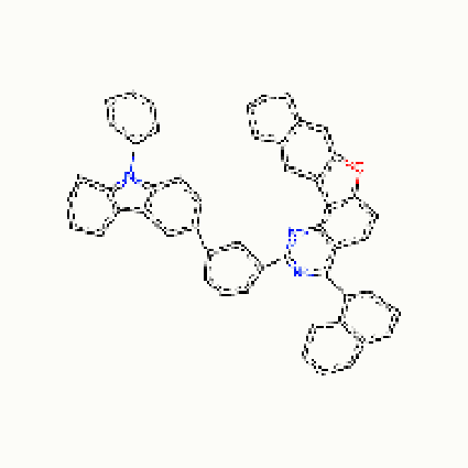 c1ccc(-n2c3ccccc3c3cc(-c4cccc(-c5nc(-c6cccc7ccccc67)c6ccc7oc8cc9ccccc9cc8c7c6n5)c4)ccc32)cc1